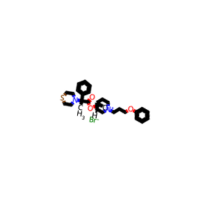 CC(C(=O)O[C@H]1C[N+]2(CCCOc3ccccc3)CCC1CC2)(c1ccccc1)N1CCSCC1.[Br-]